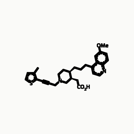 COc1ccc2nccc(CCC[C@@H]3CCN(CC#Cc4sccc4C)C[C@@H]3CC(=O)O)c2c1